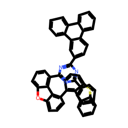 c1ccc(-c2nc(-c3ccc4c5ccccc5c5ccccc5c4c3)nc(-c3cccc4oc5cccc(-c6cccc7sc8ccccc8c67)c5c34)n2)cc1